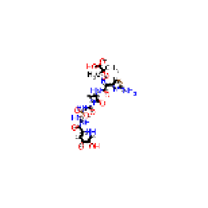 CC(C)(ON=C(C(=O)N[C@H]1CN(C(=O)NS(=O)(=O)NNC(=O)c2cc(=O)c(O)c[nH]2)C1=O)c1csc(N)n1)C(=O)O